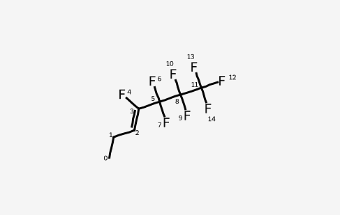 CCC=C(F)C(F)(F)C(F)(F)C(F)(F)F